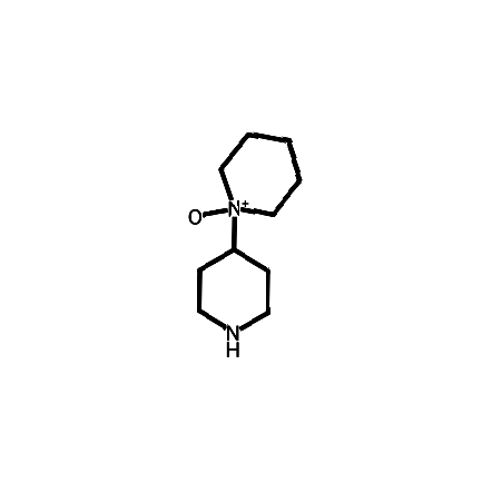 [O-][N+]1(C2CCNCC2)CCCCC1